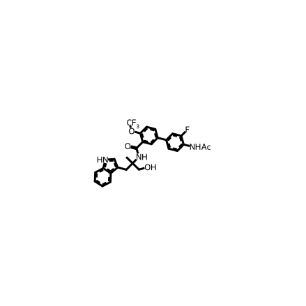 CC(=O)Nc1ccc(-c2ccc(OC(F)(F)F)c(C(=O)NC(C)(CO)Cc3c[nH]c4ccccc34)c2)cc1F